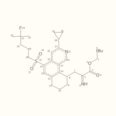 CC(C)(C)COC(=O)C(=N)CC1CCCc2cc(S(=O)(=O)CCCC(C)(C)F)c3cc(C4CC4)ncc3c21